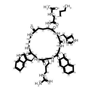 CCCC[C@@H](NC(C)=O)C(=O)N[C@H]1CCC(=O)NCCNC(=O)[C@H](Cc2c[nH]c3ccccc23)NC(=O)[C@H](CCCNC(=N)N)NC(=O)[C@@H](Cc2ccc3ccccc3c2)NC(=O)[C@H](Cc2c[nH]cn2)NC1=O